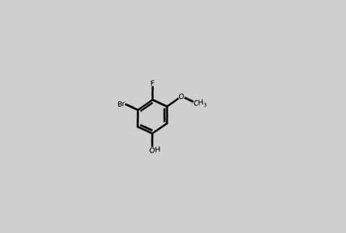 COc1cc(O)cc(Br)c1F